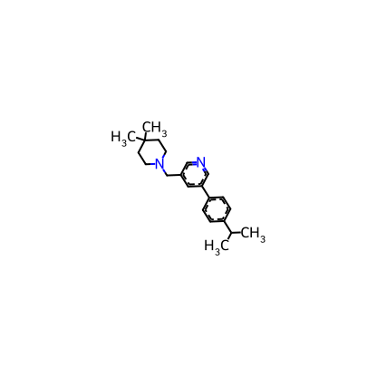 CC(C)c1ccc(-c2cncc(CN3CCC(C)(C)CC3)c2)cc1